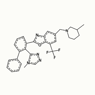 CC1CCCN(Cc2cc(C(F)(F)F)c3oc(-c4cccc(-c5ccccc5)c4-c4nncn4C)nc3c2)C1